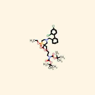 CCOP1(=O)CCN(Cc2ccccc2-c2ccc(Cl)cc2Cl)CC1(CCCCN(C(=O)OC(C)(C)C)C(=O)OC(C)(C)C)C(=O)O